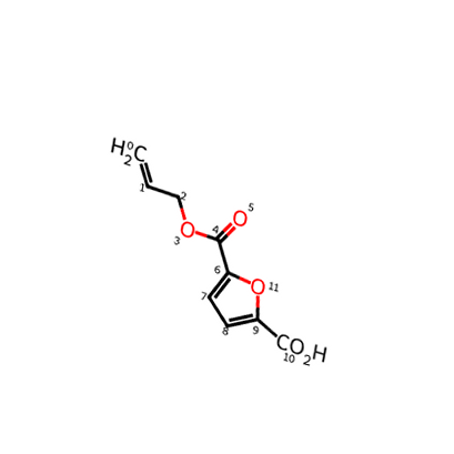 C=CCOC(=O)c1ccc(C(=O)O)o1